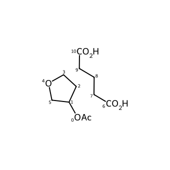 CC(=O)OC1CCOC1.O=C(O)CCCC(=O)O